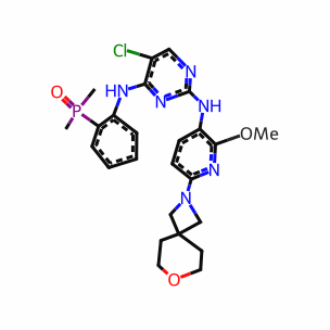 COc1nc(N2CC3(CCOCC3)C2)ccc1Nc1ncc(Cl)c(Nc2ccccc2P(C)(C)=O)n1